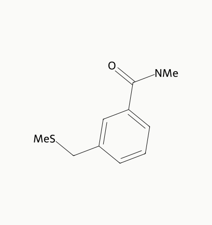 CNC(=O)c1cccc(CSC)c1